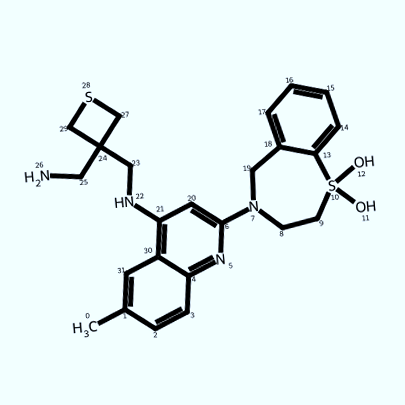 Cc1ccc2nc(N3CCS(O)(O)c4ccccc4C3)cc(NCC3(CN)CSC3)c2c1